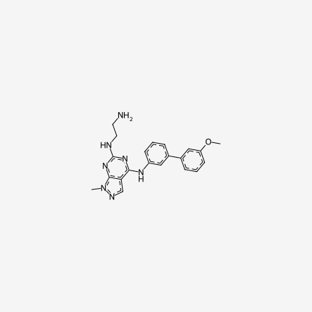 COc1cccc(-c2cccc(Nc3nc(NCCN)nc4c3cnn4C)c2)c1